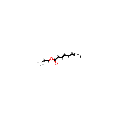 C=CCOC(=O)CC=CCCC